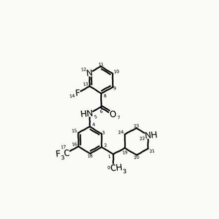 CC(c1cc(NC(=O)c2cccnc2F)cc(C(F)(F)F)c1)C1CCNCC1